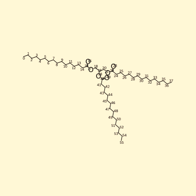 CCCCCCCCCCCCCCCC(=O)OC[C@@H](COC(=O)CCCCCCCCCCCCCC)OC(=O)CCCCCCCCCCCCCCC